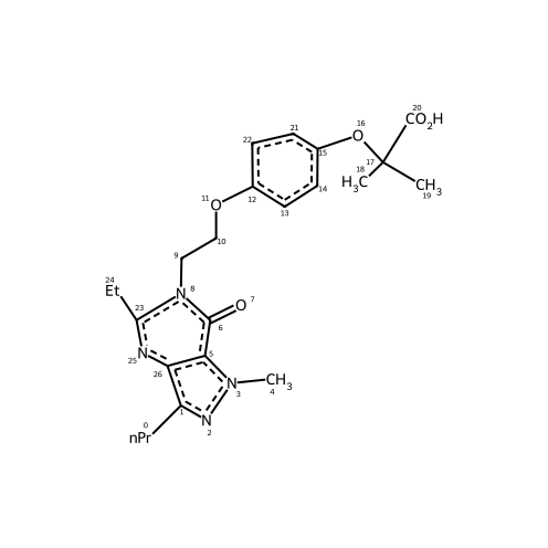 CCCc1nn(C)c2c(=O)n(CCOc3ccc(OC(C)(C)C(=O)O)cc3)c(CC)nc12